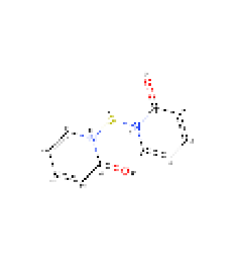 O=c1ccccn1Sn1ccccc1=O